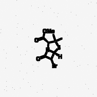 COC(=O)[C@@H]1N2C(=O)C(Br)[C@H]2SC1(C)C